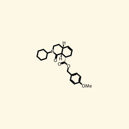 COc1ccc(COC(=O)[C@H]2CC=C[C@H]3CCN(C4CCCCC4)C(=O)[C@@H]23)cc1